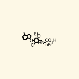 CCC[C@H](NCc1cc(Cl)c(O[C@H]2CCc3c(C)cccc32)cc1OCC)C(=O)O